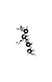 CCOc1ccn(-c2ccc(F)c(OP(=O)(O)O)c2)c(=O)c1C(=O)Nc1ccc(Oc2ccnc(N)c2Cl)c(F)c1